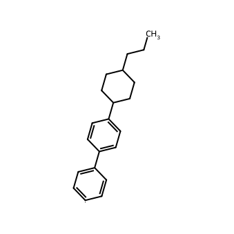 CCCC1CCC(c2ccc(-c3cc[c]cc3)cc2)CC1